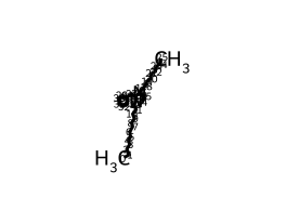 CCCCCCCCCCCCCN1C=CN(CCCCCCCCC)C1Cc1ccccc1